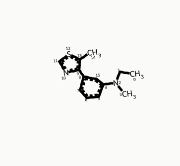 CCN(C)c1cccc(-c2n[c]sc2C)c1